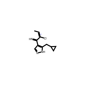 C/C=C(/Cl)C(=N)c1cn[nH]c1CC1CC1